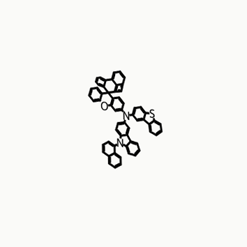 c1ccc2c(c1)Oc1cc(N(c3ccc4sc5ccccc5c4c3)c3ccc4c(c3)c3ccccc3n4-c3cccc4ccccc34)ccc1C21c2ccccc2-c2cccc3cccc1c23